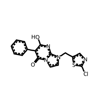 O=c1c(-c2ccccc2)c(O)nc2n(Cc3cnc(Cl)s3)ccn12